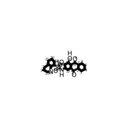 O=C1c2ccccc2C(=O)c2c1cc(NS(=O)(=O)c1cccc3cccnc13)c(O)c2O